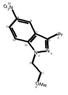 COCCn1nc(C(C)C)c2cc([N+](=O)[O-])ccc21